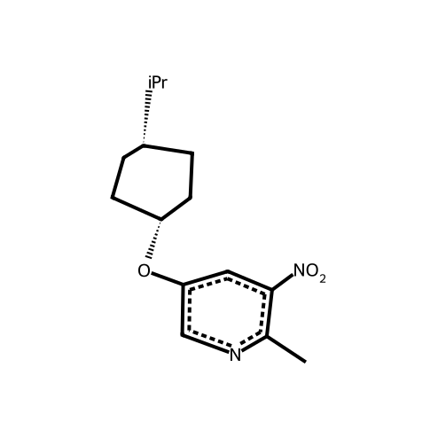 Cc1ncc(O[C@H]2CC[C@@H](C(C)C)CC2)cc1[N+](=O)[O-]